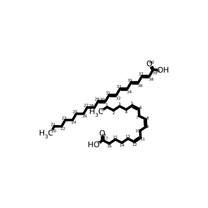 CCCCC/C=C\C/C=C\C/C=C\CCCCC(=O)O.CCCCCCCCC/C=C/C=C/C=C/C=C/C=C/C(=O)O